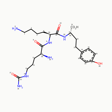 NCCCC[C@H](NC(=O)[C@@H](N)CCCNC(N)=O)C(=O)N[C@@H](CCc1ccc(O)cc1)C(=O)O